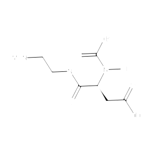 CNCCNC(=O)[C@H](CC(=O)C(C)C)N(C)C(=O)C(C)(C)C